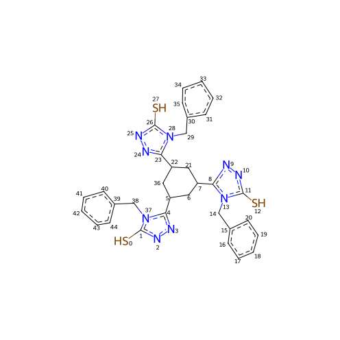 Sc1nnc(C2CC(c3nnc(S)n3Cc3ccccc3)CC(c3nnc(S)n3Cc3ccccc3)C2)n1Cc1ccccc1